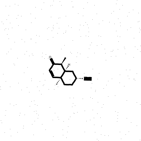 C#C[C@@H]1CC[C@@]2(C)C=CC(=O)[C@@H](C)[C@H]2C1